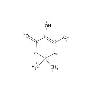 CC1(C)CC(=O)C(O)=C(O)C1